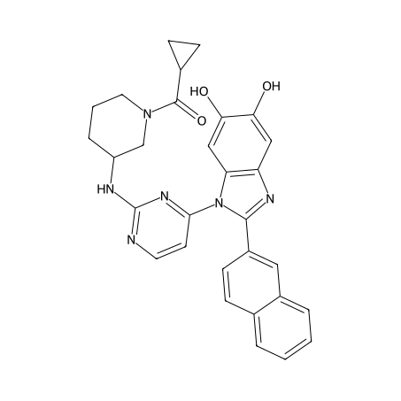 O=C(C1CC1)N1CCCC(Nc2nccc(-n3c(-c4ccc5ccccc5c4)nc4cc(O)c(O)cc43)n2)C1